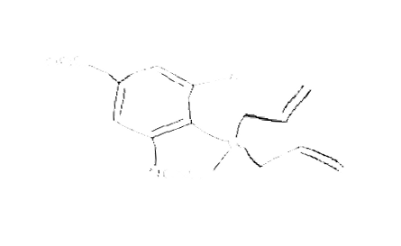 C=CC[N+](CC=C)(CCCCCCCC)c1c([N+](=O)[O-])cc(C(=O)[O-])cc1[N+](=O)[O-]